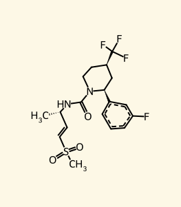 C[C@@H](/C=C/S(C)(=O)=O)NC(=O)N1CC[C@@H](C(F)(F)F)C[C@H]1c1cccc(F)c1